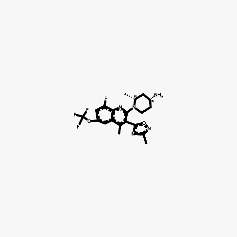 Cc1noc(-c2c(N3CC[C@@H](N)C[C@H]3C)nc3c(F)cc(OC(F)(F)F)cc3c2C)n1